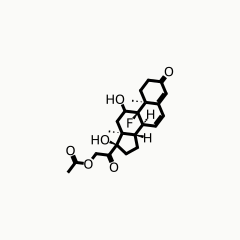 CC(=O)OCC(=O)[C@@]1(O)CC[C@H]2[C@@H]3C=CC4=CC(=O)CC[C@]4(C)[C@@]3(F)C(O)C[C@@]21C